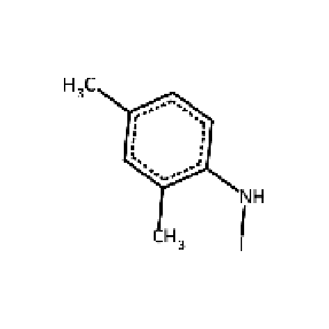 Cc1ccc(NI)c(C)c1